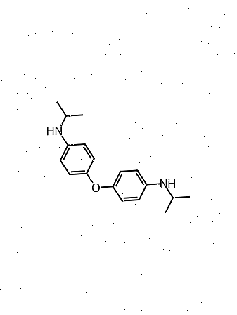 CC(C)Nc1ccc(Oc2ccc(NC(C)C)cc2)cc1